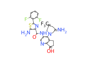 Nc1sc(-c2c(F)cccc2F)nc1C(=O)Nc1cnc2c(c1N1C[C@@H](N)C[C@@H](C(F)(F)F)C1)CC[C@H]2O